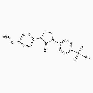 CCCCOc1ccc(N2CCN(c3ccc(S(N)(=O)=O)cc3)C2=O)cc1